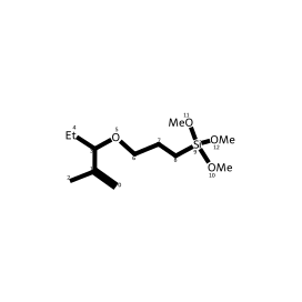 C=C(C)C(CC)OCCC[Si](OC)(OC)OC